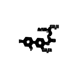 CCOC(=O)c1cc(-c2ccc(F)cc2F)ccc1OC(=O)SC[C@H](NC(C)=O)C(=O)O